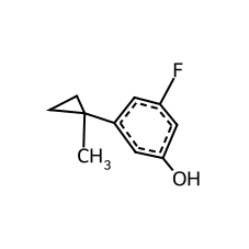 CC1(c2cc(O)cc(F)c2)CC1